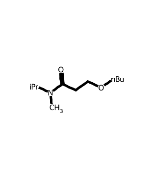 CCCCOCCC(=O)N(C)C(C)C